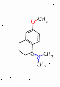 COc1ccc2c(c1)CCC[C@@H]2N(C)C